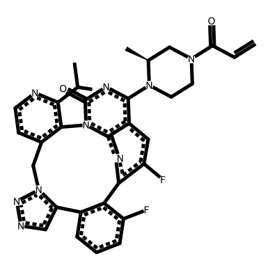 C=CC(=O)N1CCN(c2nc(=O)n3c4nc(c(F)cc24)-c2c(F)cccc2-c2cnnn2Cc2ccnc(C(C)C)c2-3)[C@@H](C)C1